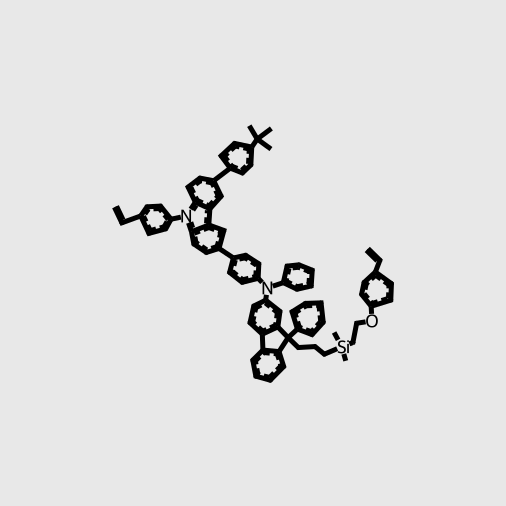 C=Cc1ccc(OCC[Si](C)(C)CCCC2(c3ccccc3)c3ccccc3-c3ccc(N(c4ccccc4)c4ccc(-c5ccc6c(c5)c5cc(-c7ccc(C(C)(C)C)cc7)ccc5n6-c5ccc(C=C)cc5)cc4)cc32)cc1